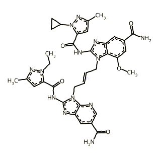 CCn1nc(C)cc1C(=O)Nc1nc2cc(C(N)=O)cnc2n1C/C=C/Cn1c(NC(=O)c2cc(C)nn2C2CC2)nc2cc(C(N)=O)cc(OC)c21